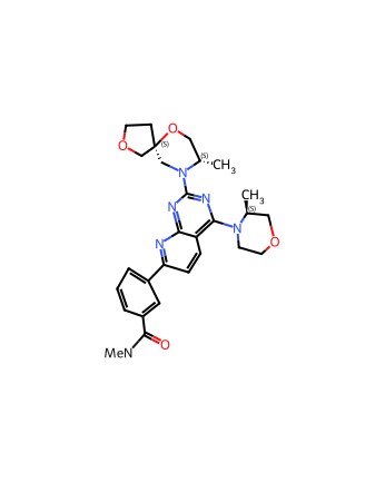 CNC(=O)c1cccc(-c2ccc3c(N4CCOC[C@@H]4C)nc(N4C[C@]5(CCOC5)OC[C@@H]4C)nc3n2)c1